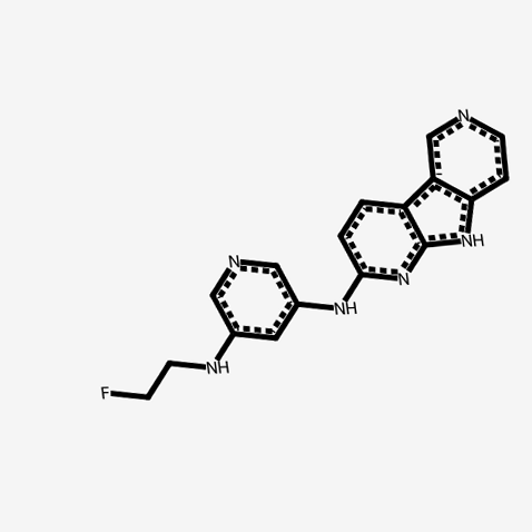 FCCNc1cncc(Nc2ccc3c(n2)[nH]c2ccncc23)c1